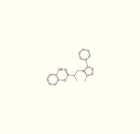 Cc1ccc(-c2ccccc2)n1CC(C)C(=O)Oc1ccccc1O